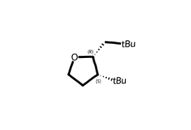 CC(C)(C)C[C@H]1OCC[C@H]1C(C)(C)C